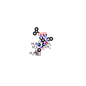 Cc1c(N(C(=O)c2cc(-c3cc4c(cc3C(=O)N3Cc5ccccc5C[C@H]3CN3CCOCC3)CN(C(=O)OCC3c5ccccc5-c5ccccc53)CC4)n(C)c2C)c2ccc(O[Si](C)(C)C(C)(C)C)cc2)cc(C#N)n1C